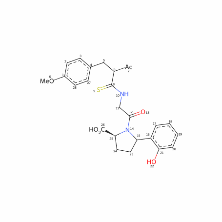 COc1ccc(CC(C(C)=O)C(=S)NCC(=O)N2C(c3ccccc3O)CC[C@H]2C(=O)O)cc1